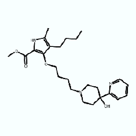 CCCCc1c(C)[nH]c(C(=O)OC)c1OCCCCN1CCC(O)(c2ccccn2)CC1